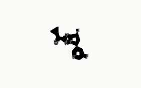 O=C(c1nc2n(n1)[C@@H](c1cncc(F)c1)C[C@H]2F)C1CC1